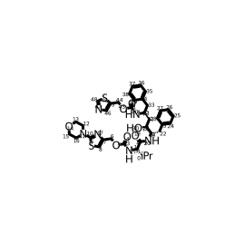 CC(C)[C@H](NC(=O)OCc1csc(N2CCOCC2)n1)C(=O)N[C@@H](Cc1ccccc1)[C@@H](O)C[C@H](Cc1ccccc1)NC(=O)OCc1cncs1